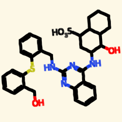 O=S(=O)(O)C1CC(Nc2nc(NCc3ccccc3Sc3ccccc3CO)nc3ccccc23)C(O)C2CCCCC21